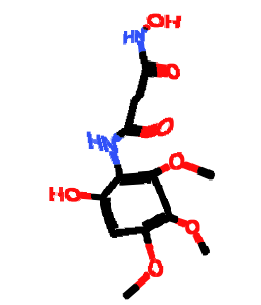 COc1cc(O)c(NC(=O)CC(=O)NO)c(OC)c1OC